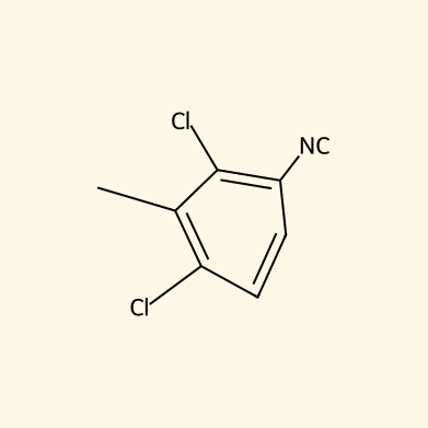 [C-]#[N+]c1ccc(Cl)c(C)c1Cl